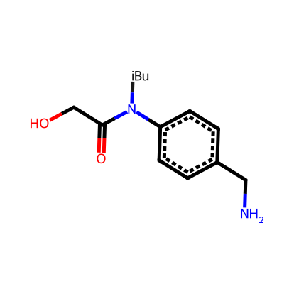 CCC(C)N(C(=O)CO)c1ccc(CN)cc1